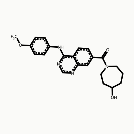 O=C(c1ccc2c(Nc3ccc(OC(F)(F)F)cc3)ncnc2c1)N1CCCC(O)CC1